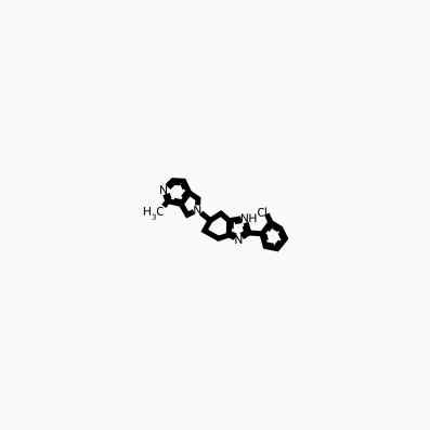 Cc1nccc2c1CN(C1CCc3nc(-c4ccccc4Cl)[nH]c3C1)C2